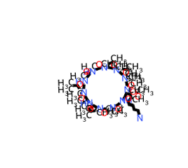 CC[C@H]1NC(=O)[C@H]([C@H](OC(C)=O)[C@H](C)C/C=C/CCC#N)N(C)C(=O)[C@@H](C(C)C)N(C)C(=O)[C@@H](CC(C)C)N(C)C(=O)[C@H](CC(C)C)N(C)C(=O)[C@H](C)NC(=O)[C@@H](C)NC(=O)[C@@H](CCC(C)C)N(C)C(=O)[C@@H](C(C)C)NC(=O)[C@H](CC(C)C)N(C)C(=O)CN(C)C1=O